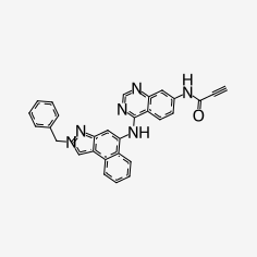 C#CC(=O)Nc1ccc2c(Nc3cc4nn(Cc5ccccc5)cc4c4ccccc34)ncnc2c1